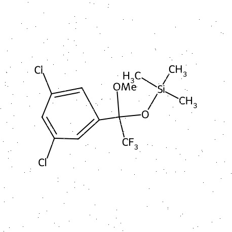 COC(O[Si](C)(C)C)(c1cc(Cl)cc(Cl)c1)C(F)(F)F